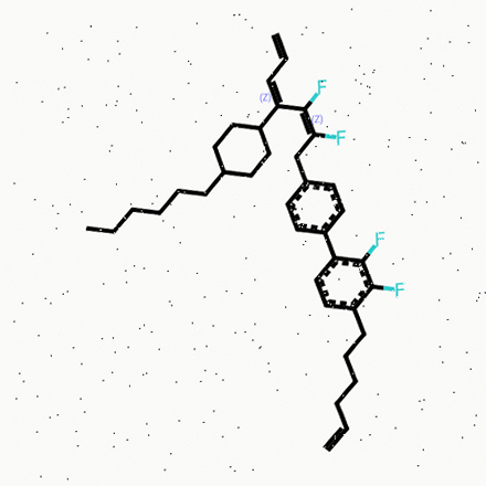 C=C/C=C(\C(F)=C(\F)Cc1ccc(-c2ccc(CCCCC=C)c(F)c2F)cc1)C1CCC(CCCCCC)CC1